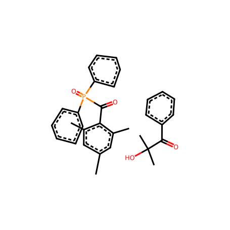 CC(C)(O)C(=O)c1ccccc1.Cc1cc(C)c(C(=O)P(=O)(c2ccccc2)c2ccccc2)c(C)c1